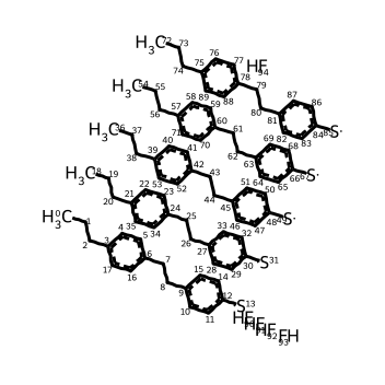 CCCc1ccc(CCc2ccc([S])cc2)cc1.CCCc1ccc(CCc2ccc([S])cc2)cc1.CCCc1ccc(CCc2ccc([S])cc2)cc1.CCCc1ccc(CCc2ccc([S])cc2)cc1.CCCc1ccc(CCc2ccc([S])cc2)cc1.F.F.F.F.F